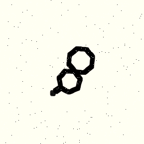 O=C1CCCC2(CCCCCCC2)CC1